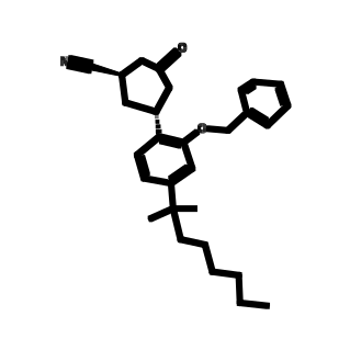 CCCCCCC(C)(C)c1ccc([C@H]2CC(=O)C[C@H](C#N)C2)c(OCc2ccccc2)c1